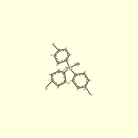 Cc1cc[c]([Hf]([Br])([c]2ccc(C)cc2)[c]2ccc(C)cc2)cc1